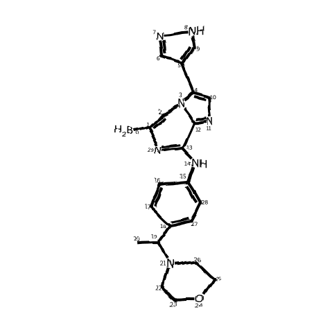 Bc1cn2c(-c3cn[nH]c3)cnc2c(Nc2ccc(C(C)N3CCOCC3)cc2)n1